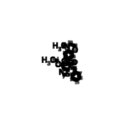 CCOC(=O)c1ncsc1N(Cc1ccccc1)S(=O)(=O)c1ccc2c(c1)OCCN2C